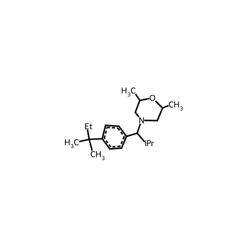 CCC(C)(C)c1ccc(C(C(C)C)N2CC(C)OC(C)C2)cc1